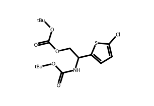 CC(C)(C)OC(=O)NC(COC(=O)OC(C)(C)C)c1ccc(Cl)s1